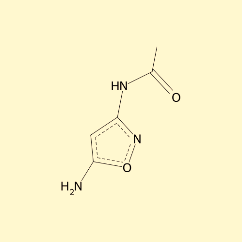 CC(=O)Nc1cc(N)on1